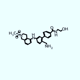 CS(=O)(=O)N1CCc2c(cccc2Nc2ccc(CN)c(-c3ccc(C(=O)NCCO)cc3)c2)C1